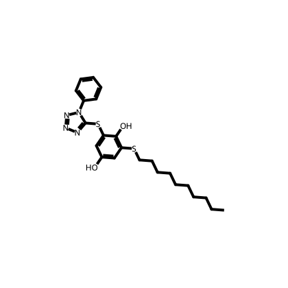 CCCCCCCCCCSc1cc(O)cc(Sc2nnnn2-c2ccccc2)c1O